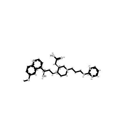 COc1ccc2nccc([C@H](O)CC[C@@H]3CCN(CCCSc4ncccn4)C[C@@H]3CC(=O)O)c2c1